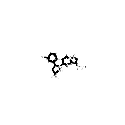 CCOC(=O)c1cnn2ccc(N3N=C(C)CC3c3cccc(F)c3)nc12